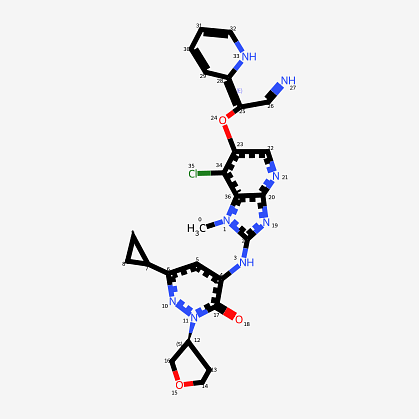 Cn1c(Nc2cc(C3CC3)nn([C@H]3CCOC3)c2=O)nc2ncc(O/C(C=N)=C3\C=CC=CN3)c(Cl)c21